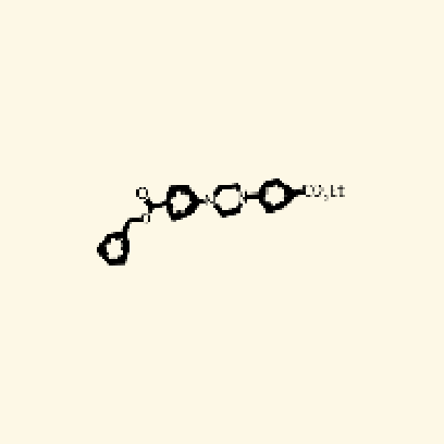 CCOC(=O)c1ccc(N2CCN(c3ccc(C(=O)OCc4ccccc4)cc3)CC2)cc1